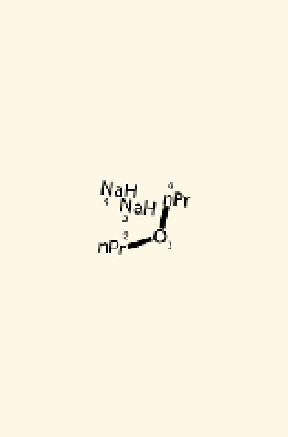 CCCOCCC.[NaH].[NaH]